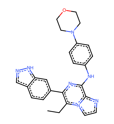 CCc1c(-c2ccc3cn[nH]c3c2)nc(Nc2ccc(N3CCOCC3)cc2)c2nccn12